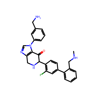 CNCc1ccccc1-c1ccc(C2NCc3ncn(-c4cccc(CN)c4)c3C2=O)c(F)c1